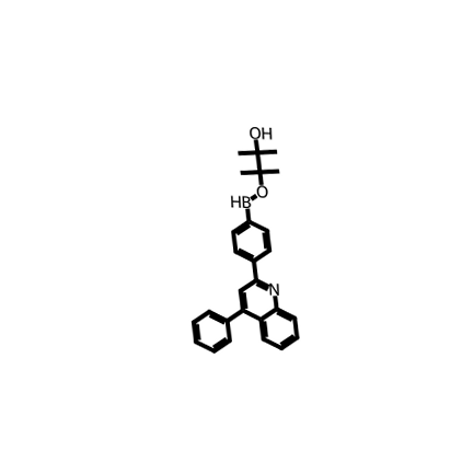 CC(C)(O)C(C)(C)OBc1ccc(-c2cc(-c3ccccc3)c3ccccc3n2)cc1